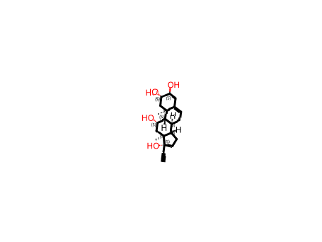 C#C[C@]1(O)CC[C@H]2[C@@H]3CC=C4C[C@H](O)[C@@H](O)C[C@]4(C)[C@H]3[C@@H](O)C[C@@]21C